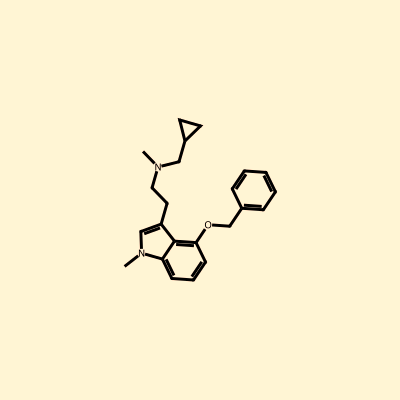 CN(CCc1cn(C)c2cccc(OCc3ccccc3)c12)CC1CC1